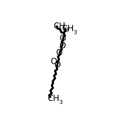 CCCCCCCCCCCCCCOC(=O)CCCOCCOCCOCC(CC)CCCC